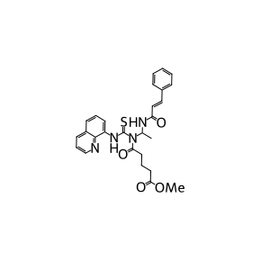 COC(=O)CCCC(=O)N(C(=S)Nc1cccc2cccnc12)C(C)NC(=O)/C=C/c1ccccc1